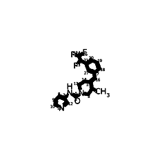 CC1CN(C(=O)Nc2cccnc2)CCC1=Cc1cccc(C(F)C(F)F)c1